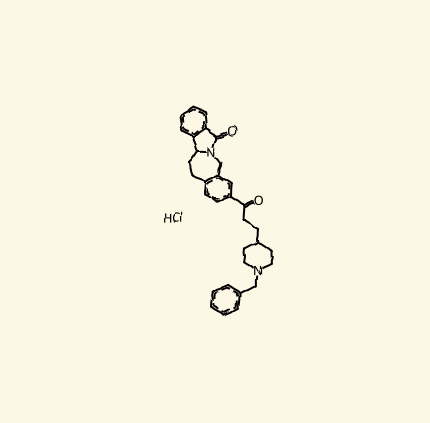 Cl.O=C(CCC1CCN(Cc2ccccc2)CC1)c1ccc2c(c1)CN1C(=O)c3ccccc3C1CC2